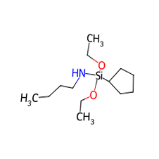 CCCCN[Si](OCC)(OCC)C1CCCC1